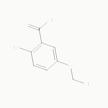 CCOc1ccc(Br)c(C(C)=O)c1